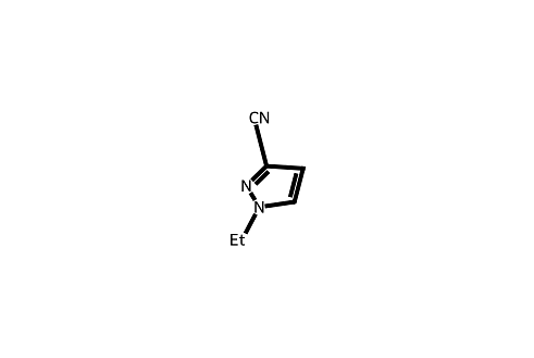 CCn1ccc(C#N)n1